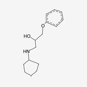 OC(CNC1CC[CH]CC1)COc1ccccc1